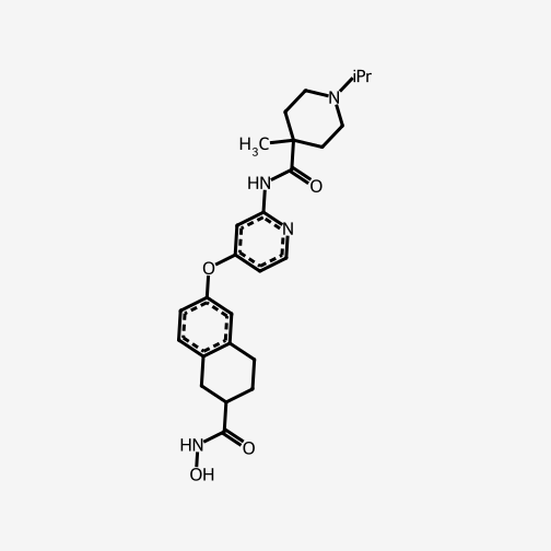 CC(C)N1CCC(C)(C(=O)Nc2cc(Oc3ccc4c(c3)CCC(C(=O)NO)C4)ccn2)CC1